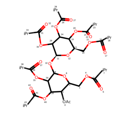 CC(=O)OC1C(COC(=O)C(C)C)OC(O[C@@H]2O[C@H](COC(=O)C(C)C)C(OC(=O)C(C)C)C(OC(=O)C(C)C)C2OC(=O)C(C)C)C(OC(=O)C(C)C)C1OC(=O)C(C)C